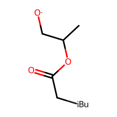 CCC(C)CC(=O)OC(C)C[O]